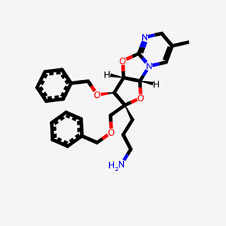 CC1=CN2C(=NC1)O[C@@H]1[C@H]2O[C@](CCCN)(COCc2ccccc2)[C@H]1OCc1ccccc1